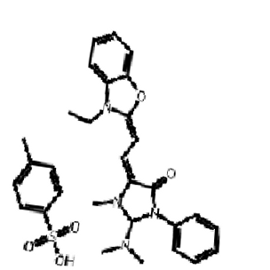 CCN1C(=CC=C2C(=O)N(c3ccccc3)C(N(C)C)N2C)Oc2ccccc21.Cc1ccc(S(=O)(=O)O)cc1